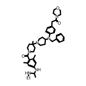 CCNC(C)Nc1cc(C)c(C(=O)N2CCC(C)(N3CCC(N(Cc4ccccc4)c4ccc(CC(=O)N5CCOCC5)cc4)CC3)CC2)c(C)c1